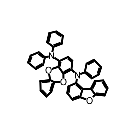 c1ccc(N(c2ccccc2)c2ccc(N(c3ccccc3)c3cccc4oc5ccccc5c34)c3c2Oc2ccccc2O3)cc1